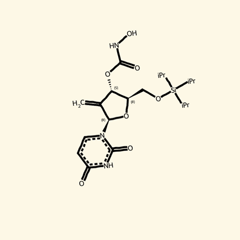 C=C1[C@H](n2ccc(=O)[nH]c2=O)O[C@H](CO[Si](C(C)C)(C(C)C)C(C)C)[C@H]1OC(=O)NO